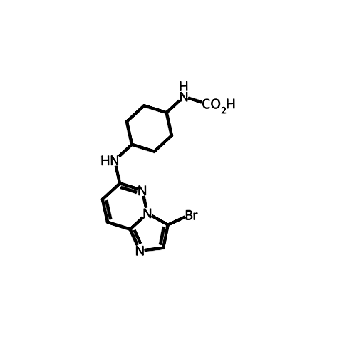 O=C(O)NC1CCC(Nc2ccc3ncc(Br)n3n2)CC1